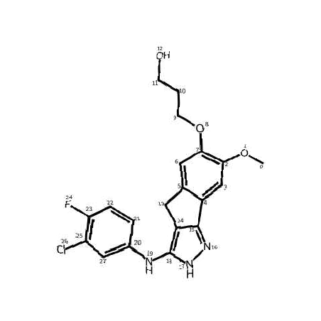 COc1cc2c(cc1OCCCO)Cc1c-2n[nH]c1Nc1ccc(F)c(Cl)c1